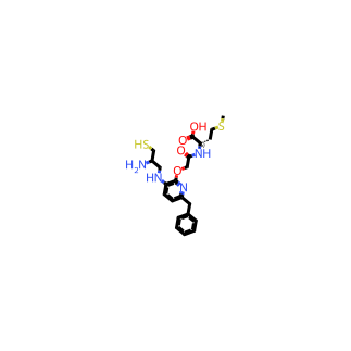 CSCC[C@H](NC(=O)COc1nc(Cc2ccccc2)ccc1NCC(N)CS)C(=O)O